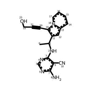 CC(Nc1ncnc(N)c1C#N)c1cc2ccccn2c1C#CCO